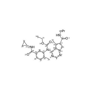 CCCNC(=O)c1cn2ncnc(N(C(=O)OCI)c3cc(C(=O)NC4CC4)ccc3C)c2c1C